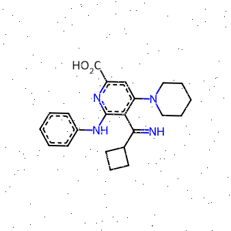 N=C(c1c(N2CCCCC2)cc(C(=O)O)nc1Nc1ccccc1)C1CCC1